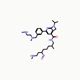 CNCCC(CCCC(C)CNC(=O)c1cc(-c2cccc(CN(C)CCNC)c2)nc2c1CN2C(C)C)N=O